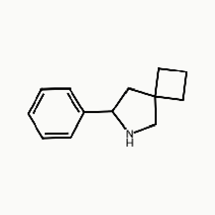 c1ccc(C2CC3(CCC3)CN2)cc1